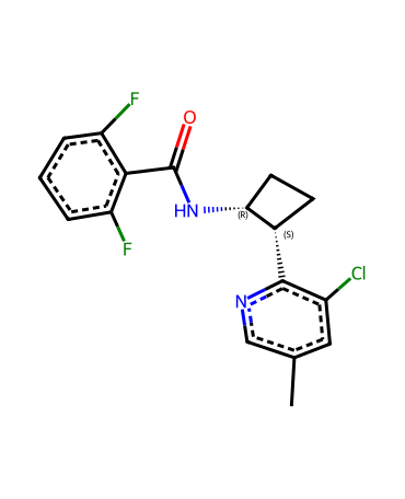 Cc1cnc([C@H]2CC[C@H]2NC(=O)c2c(F)cccc2F)c(Cl)c1